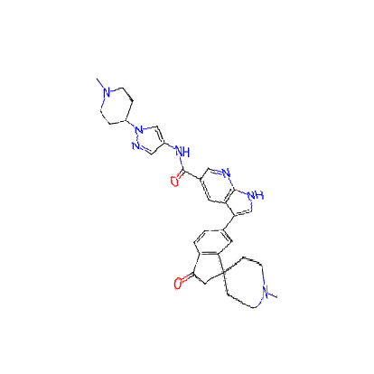 CN1CCC(n2cc(NC(=O)c3cnc4[nH]cc(-c5ccc6c(c5)C5(CCN(C)CC5)CC6=O)c4c3)cn2)CC1